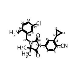 CC1(C)C(=O)N(c2ccc(C#N)c(C3CC3)c2)C(=O)N1Cc1cc(Cl)ccc1N